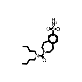 CCCCN(CCCC)C(=O)N1CCc2ccc(S(N)(=O)=O)cc2CC1